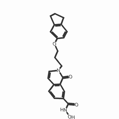 O=C(NO)c1ccc2ccn(CCCOc3ccc4c(c3)CCC4)c(=O)c2c1